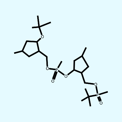 CC1CC(COP(C)(=O)OC2CC(C)CC2COP(C)(=O)C(C)(C)C)C(OC(C)(C)C)C1